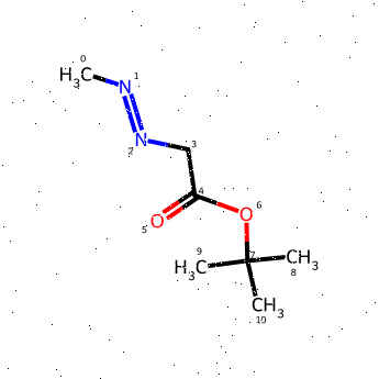 CN=NCC(=O)OC(C)(C)C